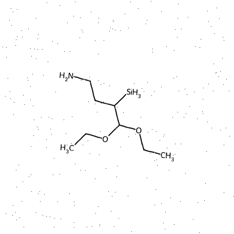 CCOC(OCC)C([SiH3])CCN